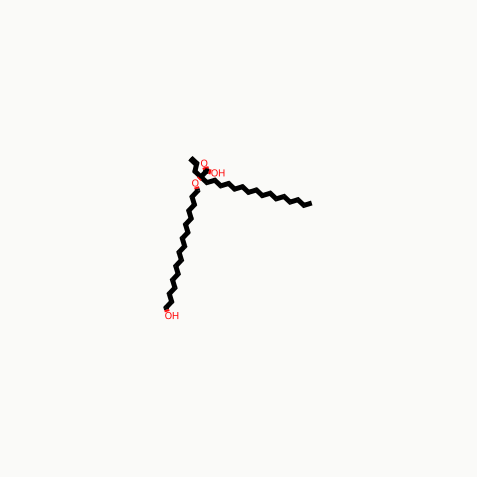 C=CCC(CCCCCCCCCCCCCCCC)(OCCCCCCCCCCCCCCCCCCO)C(=O)O